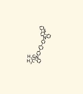 CC1c2ccccc2N(c2ccc(-c3ccc(-c4ccc(-n5c6ccccc6c6c7sc8ccccc8c7ccc65)cc4)cc3)cc2)C1C